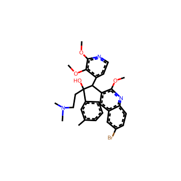 COc1nc2ccc(Br)cc2cc1C(c1ccnc(OC)c1OC)C(O)(CCN(C)C)c1cccc(C)c1